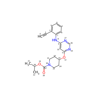 C#Cc1ccccc1Nc1cc(OC2CCN(C(=O)OC(C)C)CC2)ncn1